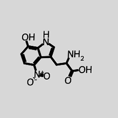 NC(Cc1c[nH]c2c(O)ccc([N+](=O)[O-])c12)C(=O)O